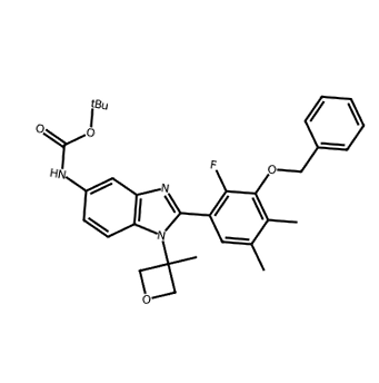 Cc1cc(-c2nc3cc(NC(=O)OC(C)(C)C)ccc3n2C2(C)COC2)c(F)c(OCc2ccccc2)c1C